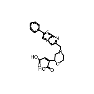 O=C(O)C=C(C(=O)O)C1CN(Cc2cn3cc(-c4ccccc4)sc3n2)CCO1